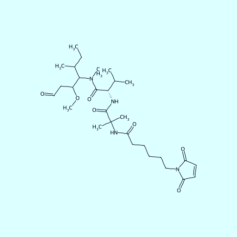 CCC(C)C(C(CC=O)OC)N(C)C(=O)[C@@H](NC(=O)C(C)(C)NC(=O)CCCCCN1C(=O)C=CC1=O)C(C)C